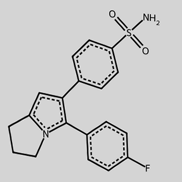 NS(=O)(=O)c1ccc(-c2cc3n(c2-c2ccc(F)cc2)CCC3)cc1